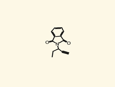 C#CC(CC)N1C(=O)c2ccccc2C1=O